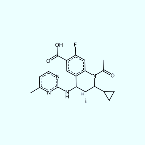 CC(=O)N1c2cc(F)c(C(=O)O)cc2C(Nc2nccc(C)n2)[C@@H](C)C1C1CC1